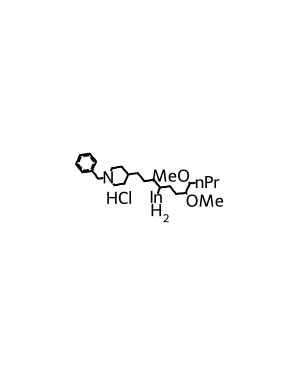 CCCC(OC)C(CC[CH]([InH2])CCCC1CCN(Cc2ccccc2)CC1)OC.Cl